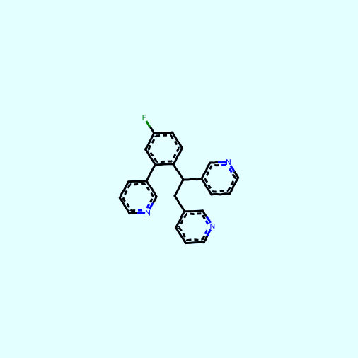 Fc1ccc(C(Cc2cccnc2)c2cccnc2)c(-c2cccnc2)c1